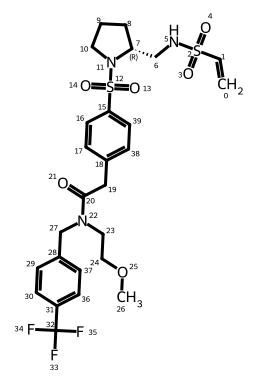 C=CS(=O)(=O)NC[C@H]1CCCN1S(=O)(=O)c1ccc(CC(=O)N(CCOC)Cc2ccc(C(F)(F)F)cc2)cc1